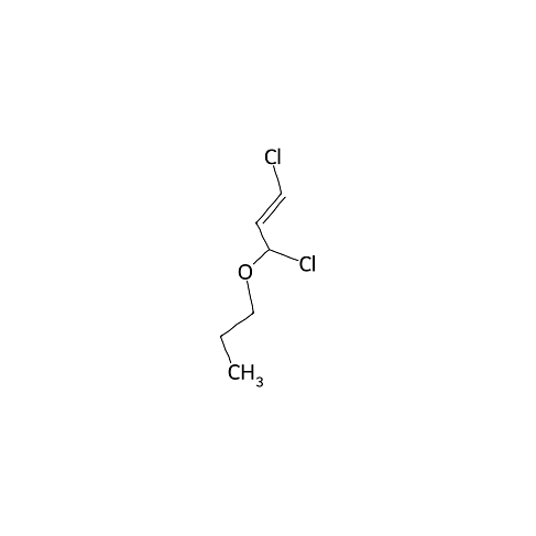 CCCOC(Cl)C=CCl